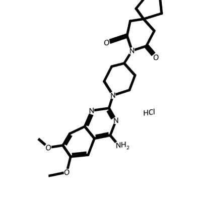 COc1cc2nc(N3CCC(N4C(=O)CC5(CCCC5)CC4=O)CC3)nc(N)c2cc1OC.Cl